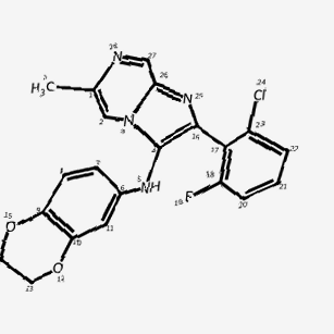 Cc1cn2c(Nc3ccc4c(c3)OCCO4)c(-c3c(F)cccc3Cl)nc2cn1